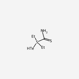 CCS([TeH])(CC)C(N)=S